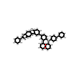 c1ccc(-c2ccc(N(c3ccccc3)c3ccc(-c4ccc5oc6cc7nc(-c8ccccc8)sc7cc6c5c4)cc3-c3ccccc3)cc2)cc1